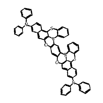 c1ccc(N(c2ccccc2)c2ccc3c4c5c(cc3c2)Oc2cc3c(cc2B5c2ccccc2S4)B2c4ccccc4Sc4c2c(cc2cc(N(c5ccccc5)c5ccccc5)ccc42)O3)cc1